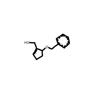 OCC1=CCCC1OCc1ccccc1